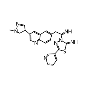 CN1CC(c2cnc3ccc(CC(=N)n4nc(-c5cccnc5)sc4=N)cc3c2)C=N1